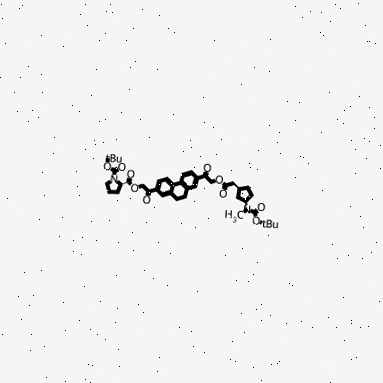 CN(C(=O)OC(C)(C)C)[C@@H]1CC[C@H](CC(=O)OCC(=O)c2ccc3c(c2)CCc2cc(C(=O)COC(=O)[C@@H]4CCCN4C(=O)OC(C)(C)C)ccc2-3)C1